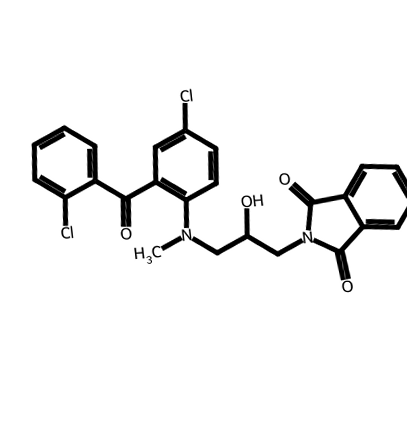 CN(CC(O)CN1C(=O)c2ccccc2C1=O)c1ccc(Cl)cc1C(=O)c1ccccc1Cl